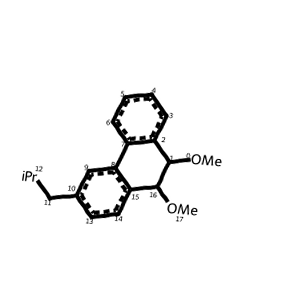 COC1c2ccccc2-c2cc(CC(C)C)ccc2C1OC